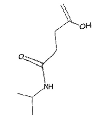 C=C(O)CCC(=O)NC(C)C